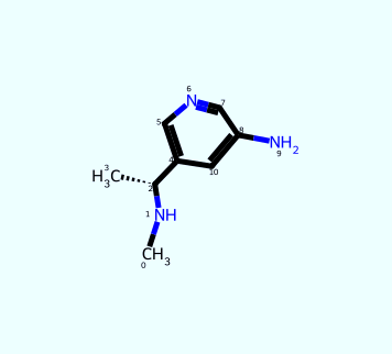 CN[C@H](C)c1cncc(N)c1